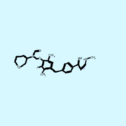 CN/C=C\C(=N)c1ccc(Cc2cc(C)c(OCN(C=O)C3CCCOC3)c(F)c2C)cc1